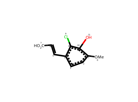 COc1ccc(/C=C/C(=O)O)c(Cl)c1O